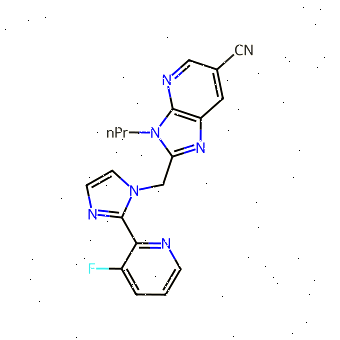 CCCn1c(Cn2ccnc2-c2ncccc2F)nc2cc(C#N)cnc21